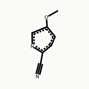 COc1ccc(C#N)nc1